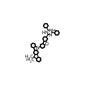 CC1(C)c2ccccc2-c2cc3c(cc21)c1ccccc1n3-c1ccc2oc3cc(C4=NC(c5ccccc5)NC(c5ccccc5)N4)ccc3c2c1